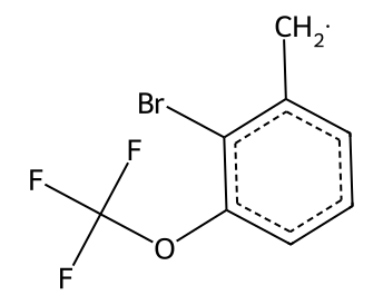 [CH2]c1cccc(OC(F)(F)F)c1Br